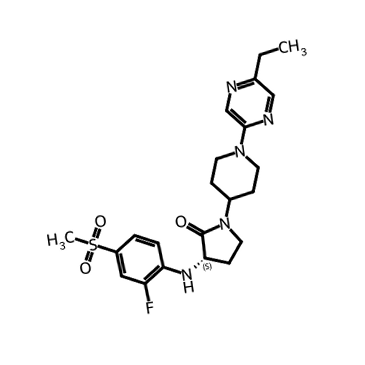 CCc1cnc(N2CCC(N3CC[C@H](Nc4ccc(S(C)(=O)=O)cc4F)C3=O)CC2)cn1